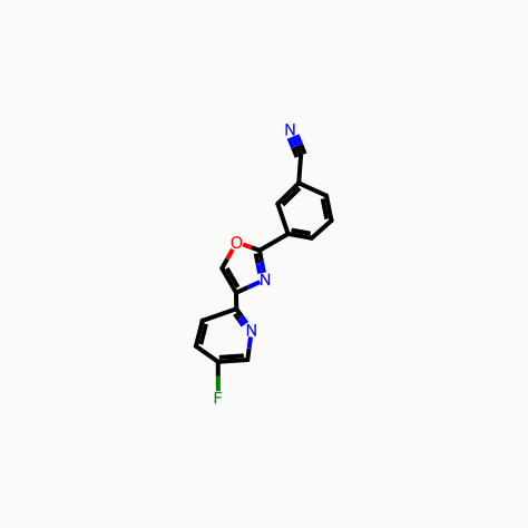 N#Cc1cccc(-c2nc(-c3ccc(F)cn3)co2)c1